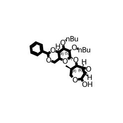 CCCCOC1[C@@H]2OC(c3ccccc3)OCC2O[C@@H](OC2[C@H](C)COC(O)[C@@H]3O[C@H]23)[C@H]1OCCCC